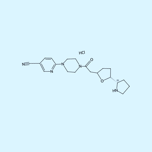 Cl.N#Cc1ccc(N2CCN(C(=O)CC3CCC([C@@H]4CCCN4)O3)CC2)nc1